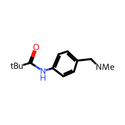 CNCc1ccc(NC(=O)C(C)(C)C)cc1